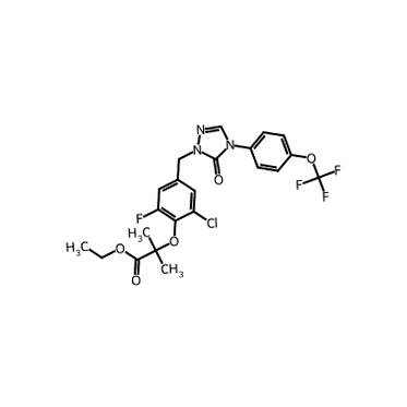 CCOC(=O)C(C)(C)Oc1c(F)cc(Cn2ncn(-c3ccc(OC(F)(F)F)cc3)c2=O)cc1Cl